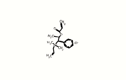 C=CC[N+](C)(C)C(c1ccccc1)C(C)OC(=O)C=C.[Cl-]